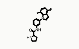 Cc1ccc(F)c2ccn(-c3cccc(NC(=O)C4CCCN4)c3)c12